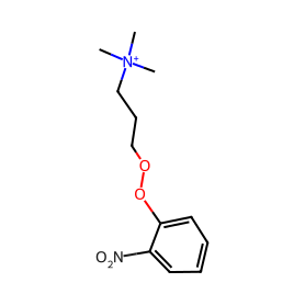 C[N+](C)(C)CCCOOc1ccccc1[N+](=O)[O-]